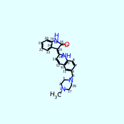 CN1CCN(Cc2ccc3c(c2)C=CC(=C2C(=O)Nc4ccccc42)N3)CC1